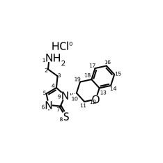 Cl.NCCC1=C[N]C(=S)N1[C@H]1COc2ccccc2C1